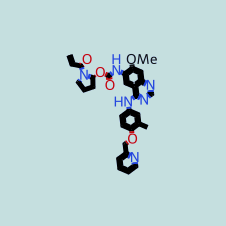 C=CC(=O)N1CCC[C@@H]1OC(=O)Nc1cc2c(Nc3ccc(OCc4ccccn4)c(C)c3)ncnc2cc1OC